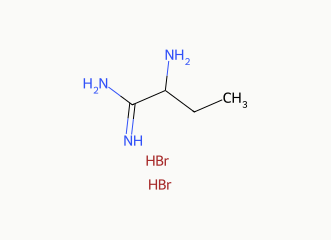 Br.Br.CCC(N)C(=N)N